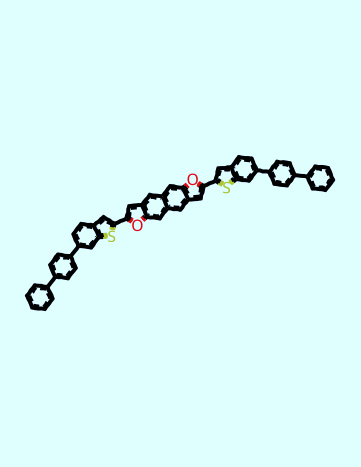 c1ccc(-c2ccc(-c3ccc4cc(-c5cc6cc7cc8oc(-c9cc%10ccc(-c%11ccc(-c%12ccccc%12)cc%11)cc%10s9)cc8cc7cc6o5)sc4c3)cc2)cc1